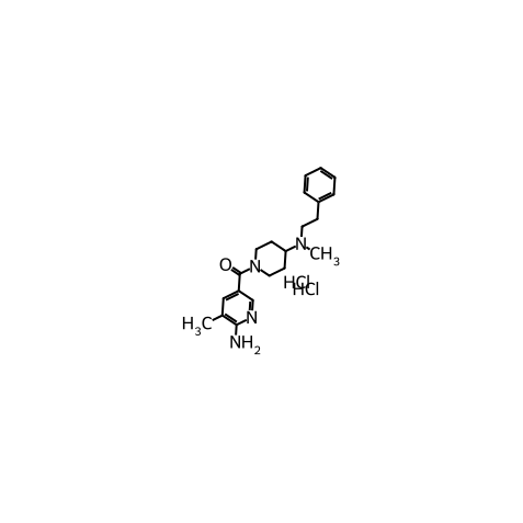 Cc1cc(C(=O)N2CCC(N(C)CCc3ccccc3)CC2)cnc1N.Cl.Cl